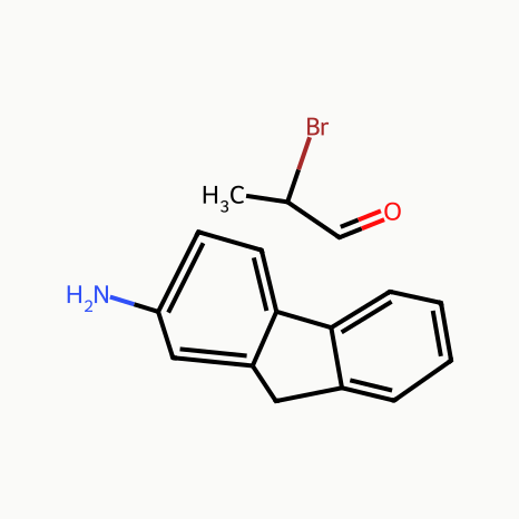 CC(Br)C=O.Nc1ccc2c(c1)Cc1ccccc1-2